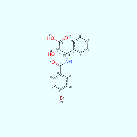 O=C(N[C@@H](c1ccccc1)[C@H](O)C(=O)O)c1ccc(Br)cc1